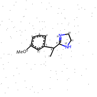 COc1cccc(C(C)C2=NCCN2)c1